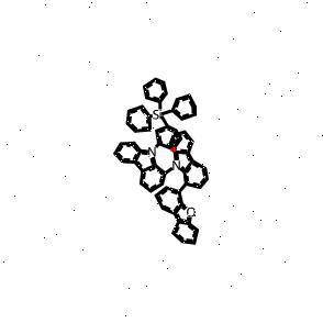 c1ccc([Si](c2ccccc2)(c2ccccc2)c2cccc(-n3c4ccccc4c4cccc(-n5c6ccccc6c6cccc(-c7cccc8c7oc7ccccc78)c65)c43)c2)cc1